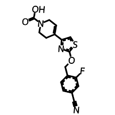 N#Cc1ccc(COc2nc(C3=CCN(C(=O)O)CC3)cs2)c(F)c1